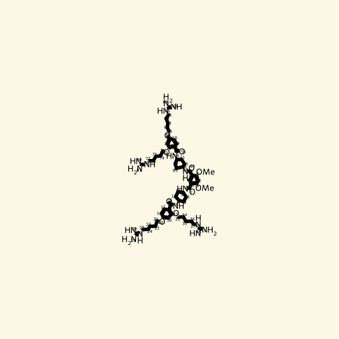 COc1cc(OC)c(C(=O)N[C@H]2CC[C@H](NC(=O)c3ccc(OCCCCCNC(=N)N)cc3OCCCCCNC(=N)N)CC2)cc1C(=O)N[C@H]1CC[C@H](NC(=O)c2ccc(OCCCCCNC(=N)N)cc2OCCCCCNC(=N)N)CC1